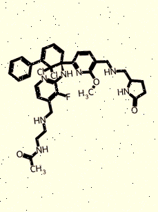 COc1nc([C@@]2(Nc3nccc(CNCCNC(C)=O)c3F)C=CC=C(c3ccccc3)C2(Cl)Cl)ccc1CNCC1CCC(=O)N1